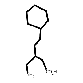 NCC(CCC1CCCCC1)CC(=O)O